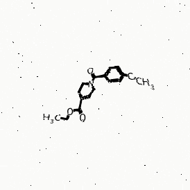 CCOC(=O)C1CCN(C(=O)c2ccc(CC)cc2)CC1